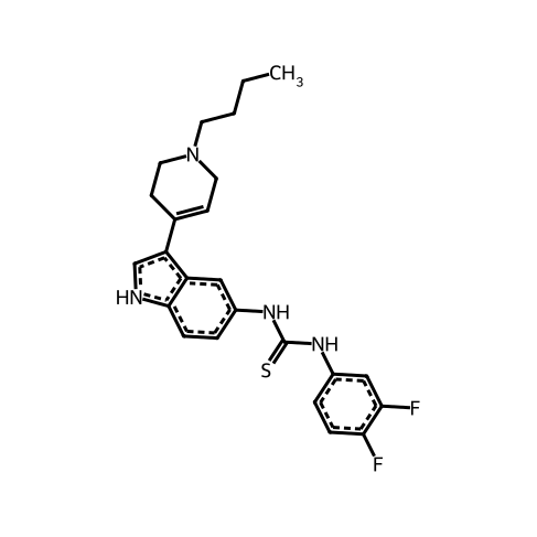 CCCCN1CC=C(c2c[nH]c3ccc(NC(=S)Nc4ccc(F)c(F)c4)cc23)CC1